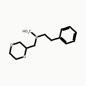 O=C(O)N(CCc1ccccc1)CC1COCCO1